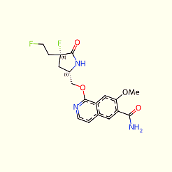 COc1cc2c(OC[C@@H]3C[C@@](F)(CCF)C(=O)N3)nccc2cc1C(N)=O